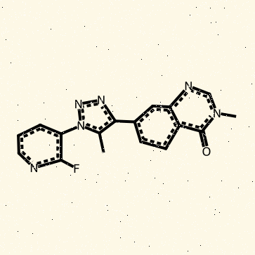 Cc1c(-c2ccc3c(=O)n(C)cnc3c2)nnn1-c1cccnc1F